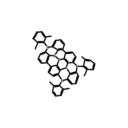 Cc1cccc(C)c1N1c2cccc3c2B2c4c(cccc41)-c1ccc4c5c1N2c1c-3ccc2c1B5c1c(cccc1N4c1c(C)cccc1C)N2c1c(C)cccc1C